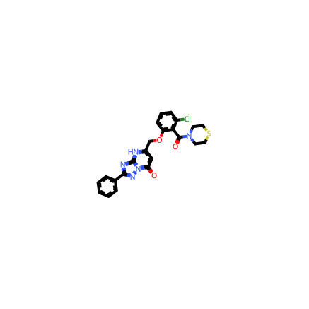 O=C(c1c(Cl)cccc1OCc1cc(=O)n2nc(-c3ccccc3)nc2[nH]1)N1CCSCC1